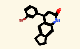 O=C1CC(c2cccc(Br)c2)c2cc3c(cc2N1)CCC3